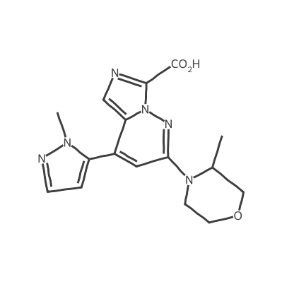 CC1COCCN1c1cc(-c2ccnn2C)c2cnc(C(=O)O)n2n1